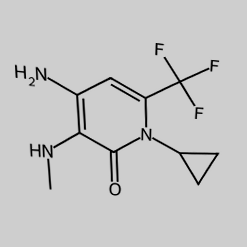 CNc1c(N)cc(C(F)(F)F)n(C2CC2)c1=O